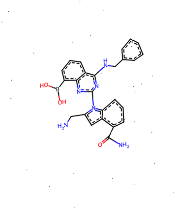 NCc1cc2c(C(N)=O)cccc2n1-c1nc(NCc2ccccc2)c2cccc(B(O)O)c2n1